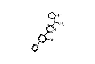 CN(c1ncc(-c2ccc(-n3ccnc3)cc2O)nn1)[C@@H]1CCC[C@@H]1F